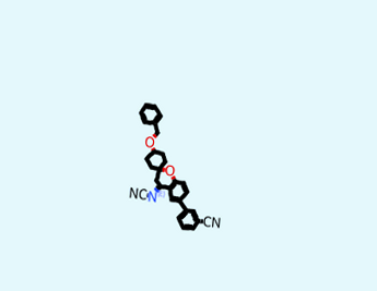 N#C/N=C1\CC2(CCC(OCc3ccccc3)CC2)Oc2ccc(-c3cccc(C#N)c3)cc21